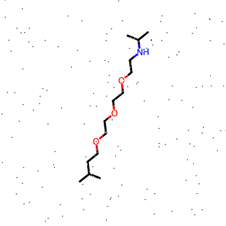 CC(C)CCOCCOCCOCCNC(C)C